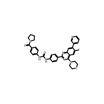 O=C(Nc1ccc(C(=O)N2CCCC2)cc1)Nc1ccc(-c2nc(N3CCOCC3)c3cc(F)c(-c4cccnc4)cc3n2)cc1